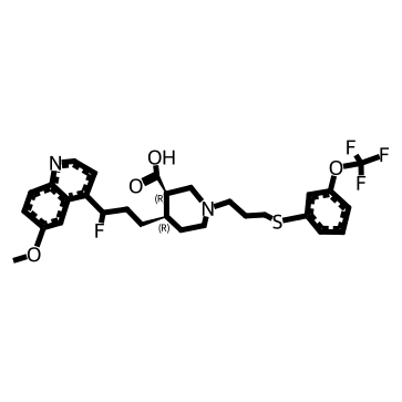 COc1ccc2nccc(C(F)CC[C@@H]3CCN(CCCSc4cccc(OC(F)(F)F)c4)C[C@@H]3C(=O)O)c2c1